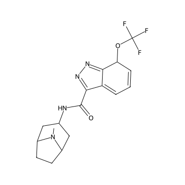 CN1C2CCC1CC(NC(=O)C1=NN=C3C1=CC=CC3OC(F)(F)F)C2